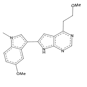 COCCc1ncnc2[nH]c(-c3cn(C)c4ccc(OC)cc34)cc12